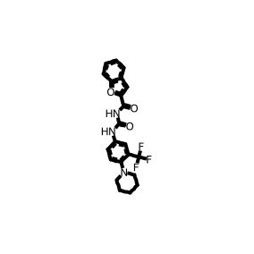 O=C(NC(=O)c1cc2ccccc2o1)Nc1ccc(N2CCCCC2)c(C(F)(F)F)c1